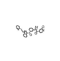 O=C(Nc1cccc(C(=O)c2nn(C=Cc3ccccn3)c3ccccc23)c1)c1ccnc(Cl)c1